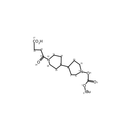 CC(C)(C)OC(=O)ON1CCC(C2CCN(C(=O)CCC(=O)O)CC2)CC1